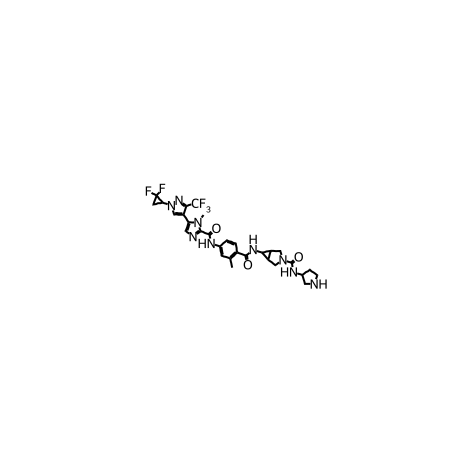 Cc1cc(NC(=O)c2ncc(-c3cn(C4CC4(F)F)nc3C(F)(F)F)n2C)ccc1C(=O)NC1C2CN(C(=O)NC3CCNC3)CC21